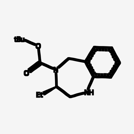 CC[C@@H]1CNc2ccccc2CN1C(=O)OC(C)(C)C